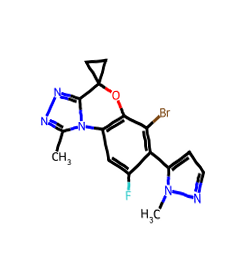 Cc1nnc2n1-c1cc(F)c(-c3ccnn3C)c(Br)c1OC21CC1